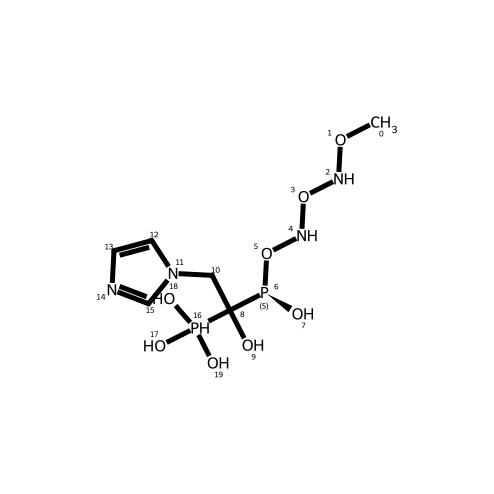 CONONO[P@@](O)C(O)(Cn1ccnc1)[PH](O)(O)O